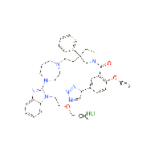 CCOCCn1c(N2CCCN(CCC3(c4ccccc4)CCN(C(=O)c4cc(C5C=NN=N5)ccc4OC)C3)CC2)nc2ccccc21.Cl